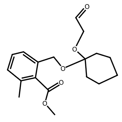 COC(=O)c1c(C)cccc1COC1(OCC=O)CCCCC1